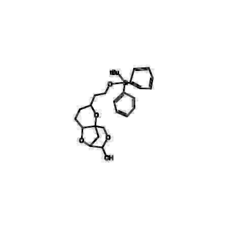 CC(C)(C)[Si](OCCC1CCC2OC3CC2(COC3O)O1)(c1ccccc1)c1ccccc1